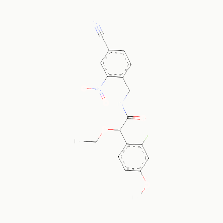 CCOC(C(=O)NCc1ccc(C#N)cc1[N+](=O)[O-])c1ccc(OC)cc1F